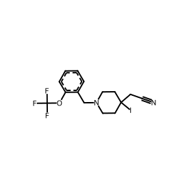 N#CCC1(I)CCN(Cc2ccccc2OC(F)(F)F)CC1